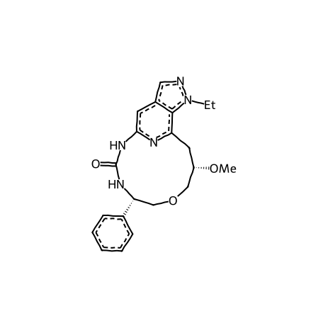 CCn1ncc2cc3nc(c21)C[C@H](OC)COC[C@H](c1ccccc1)NC(=O)N3